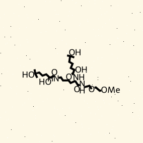 COCCOCCNC(=O)C(CCCCNC(=O)C(O)CCCC(C)(C)O)NC(=O)C(O)CCCC(C)(C)O